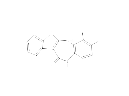 O=C1Nc2ccc(Cl)c(Cl)c2Nc2sc3ccccc3c21